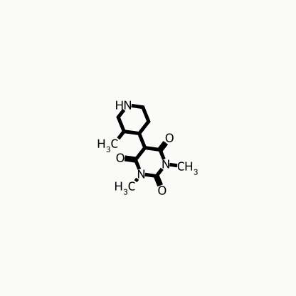 CC1CNCCC1C1C(=O)N(C)C(=O)N(C)C1=O